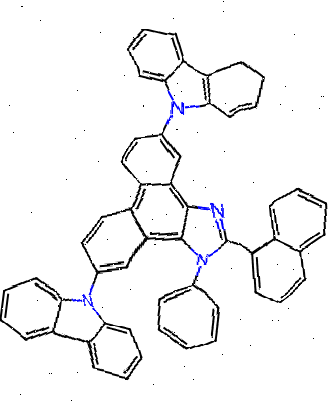 C1=Cc2c(c3ccccc3n2-c2ccc3c4ccc(-n5c6ccccc6c6ccccc65)cc4c4c(nc(-c5cccc6ccccc56)n4-c4ccccc4)c3c2)CC1